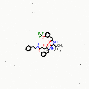 CC(C)C(NC(=O)Cc1cccc(OC(F)(F)F)c1)C(=O)N[C@@H](Cc1ccccc1)[C@@H](O)CCC(=O)NCCc1ccccc1